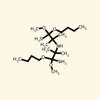 CCCCOC([SiH3])(OC)C(C)(C)NC(C)(C)C([SiH3])(OC)OCCCC